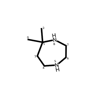 CC1(C)CCNCCN1